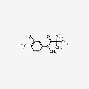 CN(C(=O)C(C)(C)[N+](=O)[O-])c1ccc(C(F)(F)F)c(C(F)(F)F)c1